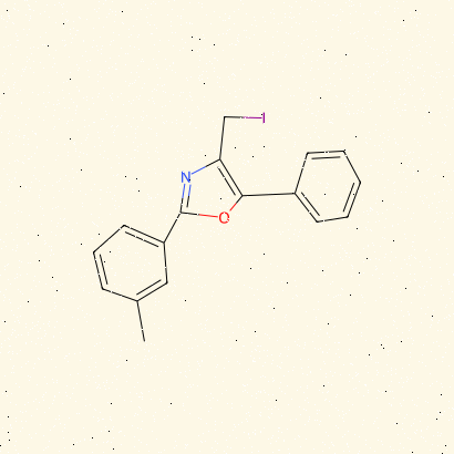 Cc1cccc(-c2nc(CI)c(-c3ccccc3)o2)c1